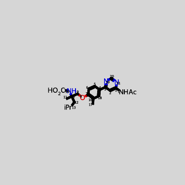 CC(=O)Nc1cc(-c2ccc(OCC(C)(CC(C)C)NC(=O)O)c(C)c2)ncn1